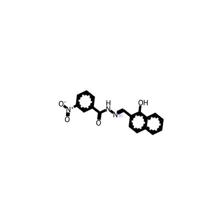 O=C(N/N=C/c1ccc2ccccc2c1O)c1cccc([N+](=O)[O-])c1